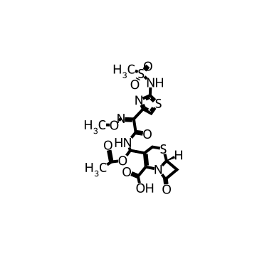 CON=C(C(=O)NC(OC(C)=O)C1=C(C(=O)O)N2C(=O)C[C@H]2SC1)c1csc(NS(C)(=O)=O)n1